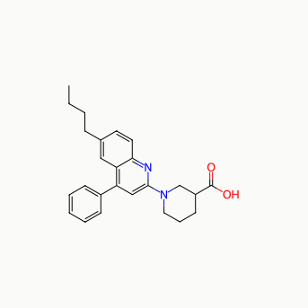 CCCCc1ccc2nc(N3CCCC(C(=O)O)C3)cc(-c3ccccc3)c2c1